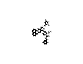 Cc1cccc2cccc(N3CCc4c(nc(OC[C@@H]5C[C@@H](F)CN5C)nc4N4CCN(C(=O)OCc5ccccc5)[C@@H](CC#N)C4)C3)c12